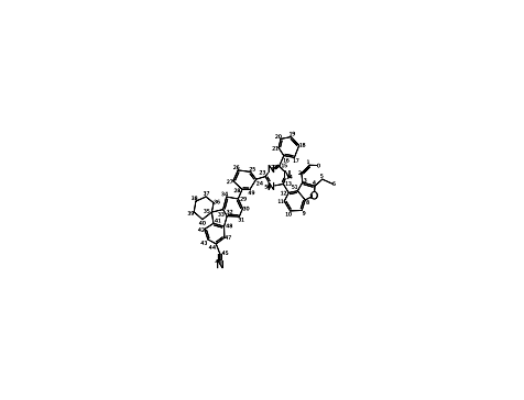 C/C=C\c1c(CC)oc2cccc(-c3nc(-c4ccccc4)nc(-c4cccc(-c5ccc6c(c5)C5(CCCCC5)c5ccc(C#N)cc5-6)c4)n3)c12